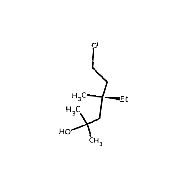 CC[C@@](C)(CCCl)CC(C)(C)O